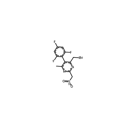 CCC(C)Cc1nc(C[SH](=O)=O)nc(C)c1-c1c(F)cc(F)cc1F